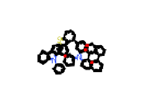 c1ccc(-c2cccc3cccc(-c4ccccc4N(c4cccc(-c5cccc6sc7ccccc7c56)c4)c4cccc(-c5cccc6c7ccccc7n(-c7ccccc7)c56)c4)c23)cc1